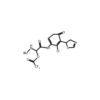 CCC(C)NC(OC(=O)C(F)(F)F)C(=O)NC1=CCC(=O)C(C2CN=CS2)=C1Cl